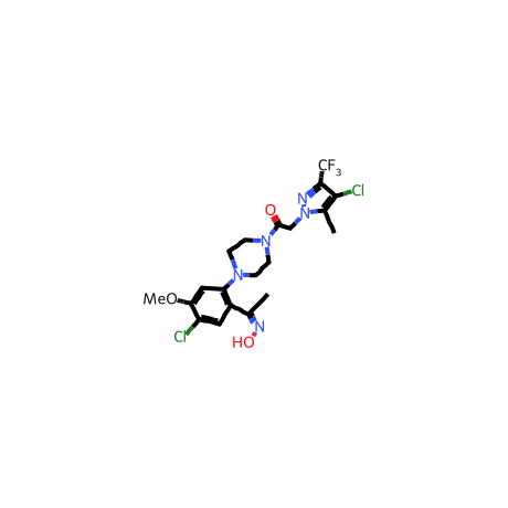 COc1cc(N2CCN(C(=O)Cn3nc(C(F)(F)F)c(Cl)c3C)CC2)c(/C(C)=N\O)cc1Cl